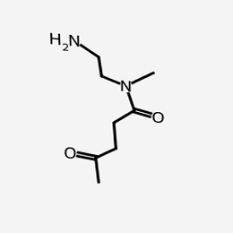 CC(=O)CCC(=O)N(C)CCN